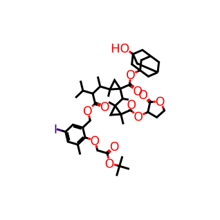 Cc1cc(I)cc(COC(=O)C(C(C)C)C(C)C2(C)CC2(C(=O)OC23CC4CC(CC(O)(C4)C2)C3)C(C)C2(C)CC2(C)C(=O)OC2CCOC2=O)c1OCC(=O)OC(C)(C)C